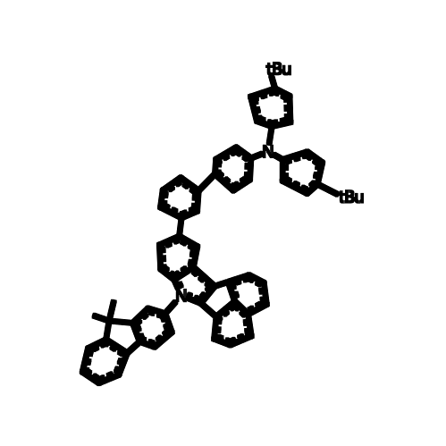 CC(C)(C)c1ccc(N(c2ccc(-c3cccc(-c4ccc5c(c4)c4c(n5-c5ccc6c(c5)C(C)(C)c5ccccc5-6)-c5cccc6cccc-4c56)c3)cc2)c2ccc(C(C)(C)C)cc2)cc1